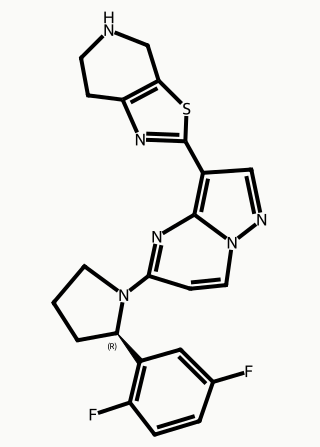 Fc1ccc(F)c([C@H]2CCCN2c2ccn3ncc(-c4nc5c(s4)CNCC5)c3n2)c1